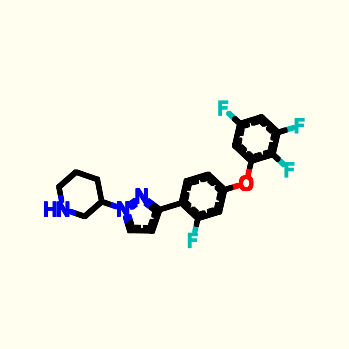 Fc1cc(F)c(F)c(Oc2ccc(-c3ccn(C4CCCNC4)n3)c(F)c2)c1